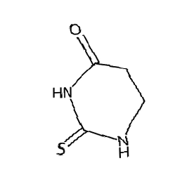 O=C1CCNC(=S)N1